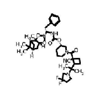 CC1(C)[C@@H]2C[C@H]3OB([C@H](Cc4ccccc4)NC(=O)O[C@H]4CCCN(C(=O)C5(C#N)CCC5C(C)(C)N5CCC(F)(F)C5)C4)O[C@@]3(C)[C@H]1C2